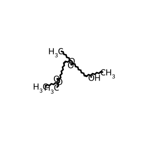 CCCCCCC(O)C/C=C\CCCCCCCC(=O)OC(C/C=C\CCCCCCCC(=O)OC(CC)CCCCCC)CCCCCC